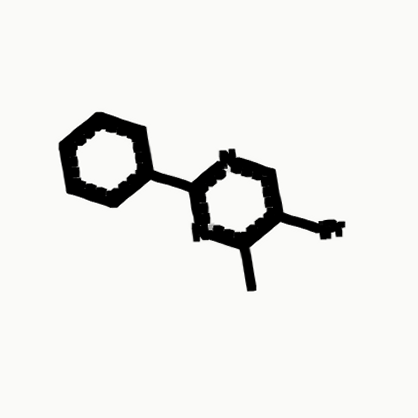 Cc1nc(-c2ccccc2)ncc1C(C)C